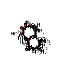 CC(N)C(=O)NC1CSCc2cc3cc(c2)CSCC(NC(=O)C(C)NC(=O)C(Cc2cccc4ccccc24)NC(=O)C(CCC(=O)O)NC(=O)C(CC(N)=O)NC(=O)C(C)NC1=O)C(=O)NC(C)C(=O)NC(CC(=O)O)C(=O)NC(Cc1ccccc1)C(=O)NC(Cc1ccc(O)cc1)C(=O)NC(CC(=O)O)C(=O)NC(C(C)(C)C)C(=O)NC(C(N)=O)CSC3